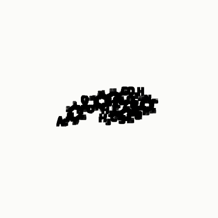 CC(=O)N1CCN(C(=O)Oc2ccc(C[C@H](NC(=O)[C@H]3N(S(=O)(=O)c4cccnc4)CSC3(C)C)C(=O)O)cc2)CC1